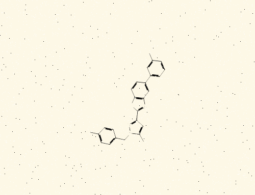 Cc1ccc(Cn2nc(-c3nc4cc(-c5cccc(Cl)c5)ccc4o3)cc2C)cc1